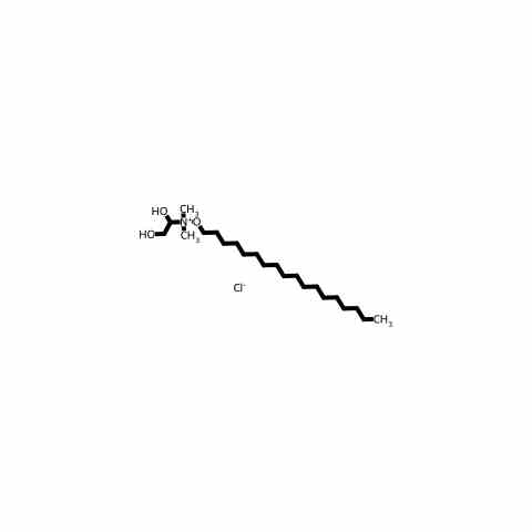 CCCCCCCCCCCCCCCCCCO[N+](C)(C)C(O)CO.[Cl-]